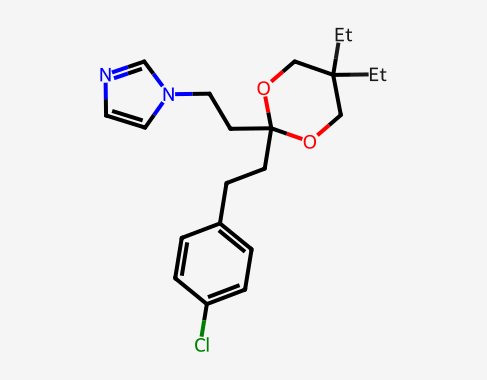 CCC1(CC)COC(CCc2ccc(Cl)cc2)(CCn2ccnc2)OC1